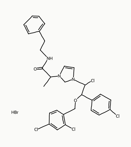 Br.CC(C(=O)NCCc1ccccc1)N1C=CN(C(Cl)C(OCc2ccc(Cl)cc2Cl)c2ccc(Cl)cc2)C1